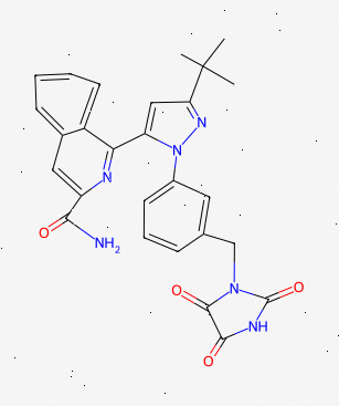 CC(C)(C)c1cc(-c2nc(C(N)=O)cc3ccccc23)n(-c2cccc(CN3C(=O)NC(=O)C3=O)c2)n1